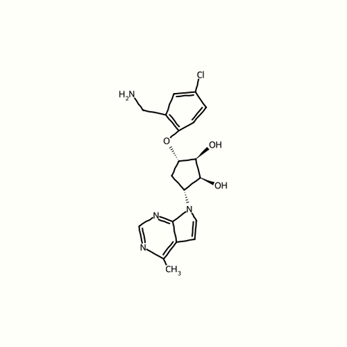 Cc1ncnc2c1ccn2[C@@H]1C[C@H](Oc2ccc(Cl)cc2CN)[C@@H](O)[C@H]1O